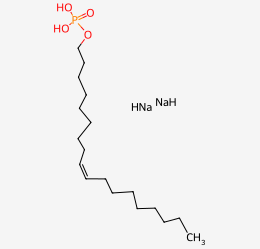 CCCCCCCC/C=C\CCCCCCCCOP(=O)(O)O.[NaH].[NaH]